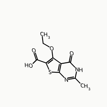 CCOc1c(C(=O)O)sc2nc(C)[nH]c(=O)c12